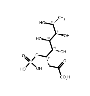 C[C@@H](O)[C@@H](O)[C@H](O)[C@H](O)[C@H](CC(=O)C(=O)O)OP(=O)(O)O